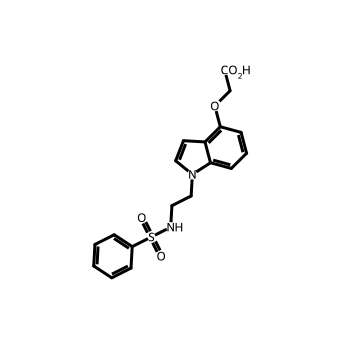 O=C(O)COc1cccc2c1ccn2CCNS(=O)(=O)c1ccccc1